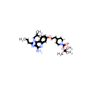 CCCc1nc2c(N)nc3cc(OCCC4CCN(C(=O)OC(C)(C)C)CC4)ccc3c2n1CC(C)C